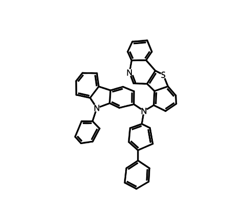 c1ccc(-c2ccc(N(c3ccc4c5ccccc5n(-c5ccccc5)c4c3)c3cccc4sc5c6ccccc6ncc5c34)cc2)cc1